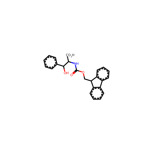 O=C(NC(C(=O)O)C(O)c1ccccc1)OCC1c2ccccc2-c2ccccc21